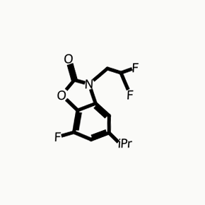 CC(C)c1cc(F)c2oc(=O)n(CC(F)F)c2c1